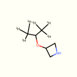 [2H]C([2H])([2H])C(OC1CNC1)C([2H])([2H])[2H]